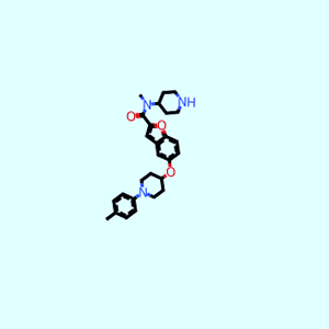 Cc1ccc(N2CCC(Oc3ccc4oc(C(=O)N(C)C5CCNCC5)cc4c3)CC2)cc1